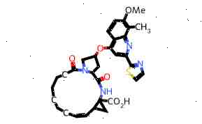 COc1ccc2c(OC3CC4C(=O)NC5(C(=O)O)CC5C=CCCCCCCC(=O)N4C3)cc(-c3nccs3)nc2c1C